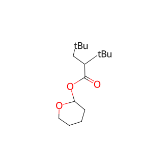 CC(C)(C)CC(C(=O)OC1CCCCO1)C(C)(C)C